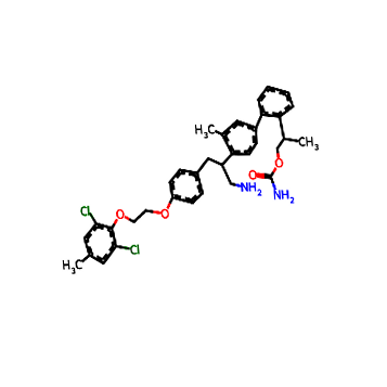 Cc1cc(Cl)c(OCCOc2ccc(CC(CN)c3ccc(-c4ccccc4C(C)COC(N)=O)cc3C)cc2)c(Cl)c1